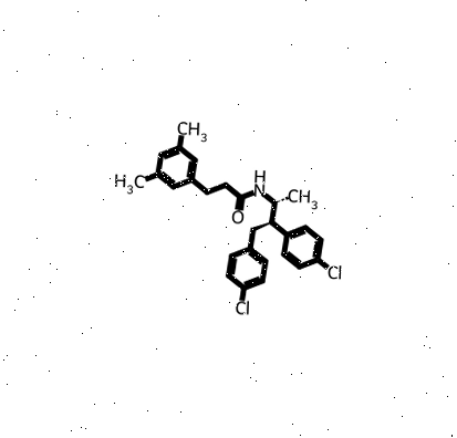 Cc1cc(C)cc(CCC(=O)N[C@H](C)[C@H](Cc2ccc(Cl)cc2)c2ccc(Cl)cc2)c1